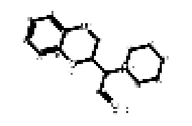 C=CC(C1COc2ccccc2O1)N1CC[CH]CC1